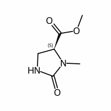 COC(=O)[C@@H]1CNC(=O)N1C